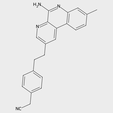 Cc1ccc2c(c1)nc(N)c1ncc(CCc3ccc(CC#N)cc3)cc12